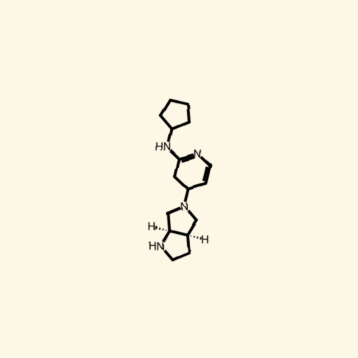 C1=CC(N2C[C@H]3CCN[C@H]3C2)CC(NC2CCCC2)=N1